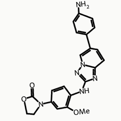 COc1cc(N2CCOC2=O)ccc1Nc1nc2ccc(-c3ccc(N)cc3)cn2n1